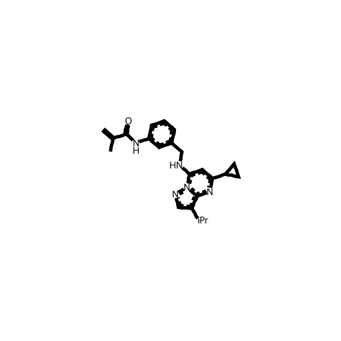 C=C(C)C(=O)Nc1cccc(CNc2cc(C3CC3)nc3c(C(C)C)cnn23)c1